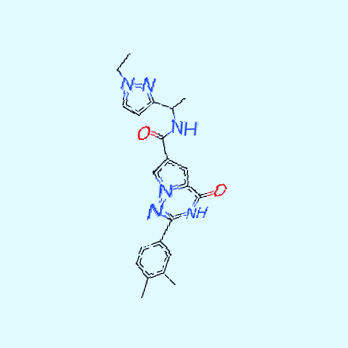 CCn1ccc(C(C)NC(=O)c2cc3c(=O)[nH]c(-c4ccc(C)c(C)c4)nn3c2)n1